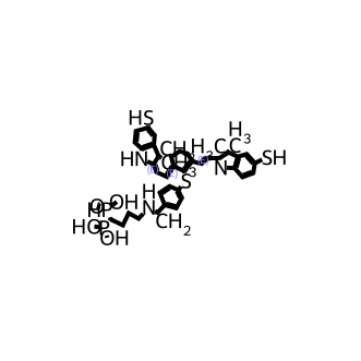 C=C(NCCCC(P(O)O)[PH](=O)O)c1ccc(SC2=C(/C=C/C3=Nc4ccc(S)cc4C3(C)C)CCC/C2=C\C=C2\Nc3ccc(S)cc3C2(C)C)cc1